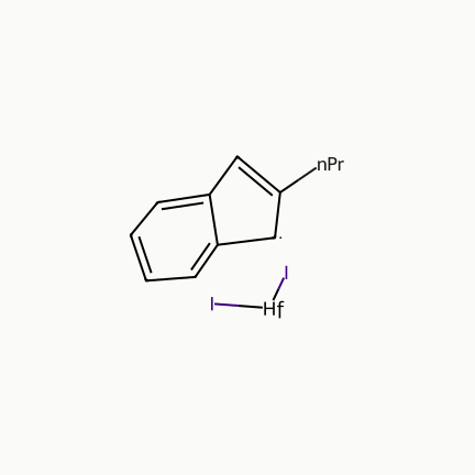 CCCC1=Cc2ccccc2[CH]1.[I][Hf][I]